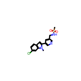 Cn1c(-c2cncc(CNS(C)(=O)=O)c2)cc2ccc(Cl)cc21